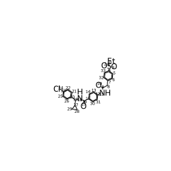 CCS(=O)(=O)c1ccc(CC(=O)Nc2ccc(C(=O)NC(c3ccc(Cl)cc3)C3CC3)cc2)cc1